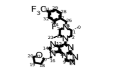 C[C@@H]1CN(c2nc3nncn3c3c2ncn3C[C@@H]2CCCO2)[C@@H](C)CN1Cc1ccc(C(F)(F)F)cc1F